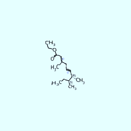 CCOC(=O)/C=C(\C)C/C=C/[C@H](C)[C@@H](C)CC